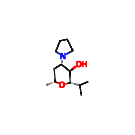 CC(C)[C@@H]1O[C@H](C)C[C@H](N2CCCC2)[C@H]1O